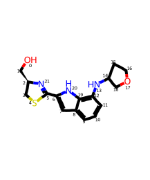 OC[C@@H]1CSC(c2cc3cccc(NC4CCOC4)c3[nH]2)=N1